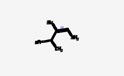 CCCC(C)/C(=C\N)C(C)CC